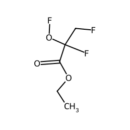 CCOC(=O)C(F)(CF)OF